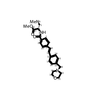 CNC[C@H](NC(=O)c1ccc(/C=C/c2ccc(CN3CCOCC3)cc2)cc1)C(=O)OC